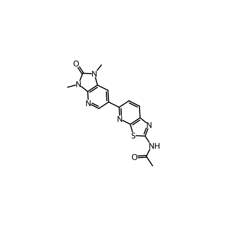 CC(=O)Nc1nc2ccc(-c3cnc4c(c3)n(C)c(=O)n4C)nc2s1